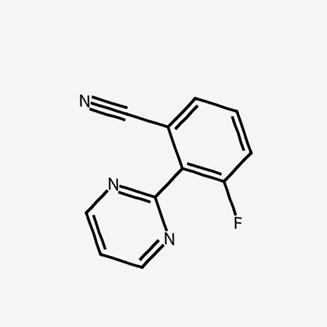 N#Cc1cccc(F)c1-c1ncccn1